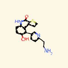 NCCc1ccc(-c2c(O)ccc3[nH]c(=O)c4sccc4c23)cn1